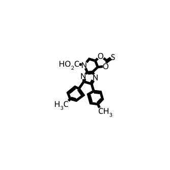 Cc1ccc(-c2nc3c(nc2-c2ccc(C)cc2)N(C(=O)O)CC2OC(=S)OC32)cc1